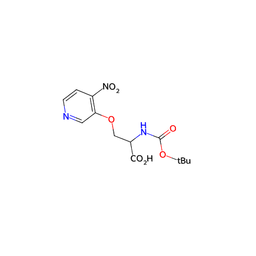 CC(C)(C)OC(=O)NC(COc1cnccc1[N+](=O)[O-])C(=O)O